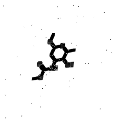 COC(=O)NC1CC(OC)OC(C)C1O